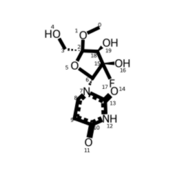 CO[C@]1(CO)O[C@@H](n2ccc(=O)[nH]c2=O)[C@@](O)(F)[C@@H]1O